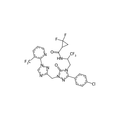 O=C(NC(Cn1c(-c2ccc(Cl)cc2)nn(Cc2ncn(-c3ncccc3C(F)(F)F)n2)c1=O)C(F)(F)F)C1CC1(F)F